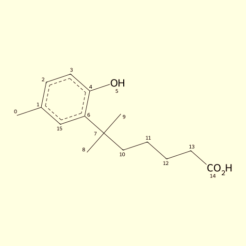 Cc1ccc(O)c(C(C)(C)CCCCC(=O)O)c1